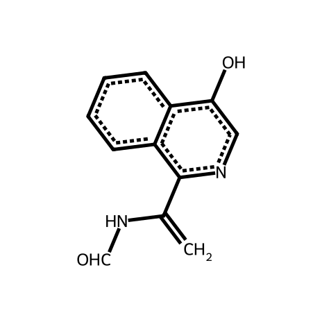 C=C(NC=O)c1ncc(O)c2ccccc12